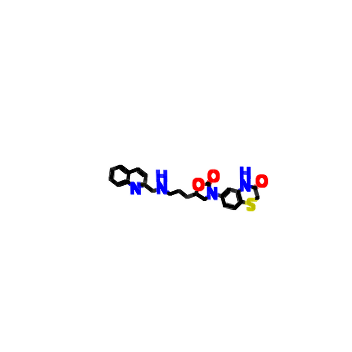 O=C1CSc2ccc(N3CC(CCCNCc4ccc5ccccc5n4)OC3=O)cc2N1